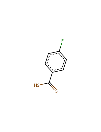 Fc1ccc(C(=S)S)cc1